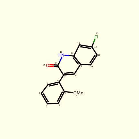 COc1ccccc1-c1cc2ccc(Cl)cc2[nH]c1=O